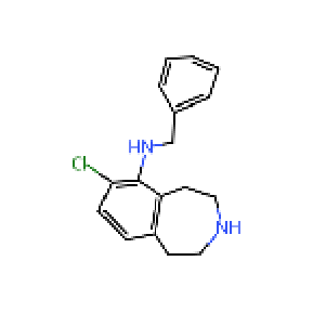 Clc1ccc2c(c1NCc1ccccc1)CCNCC2